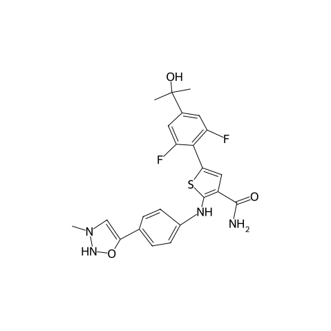 CN1C=C(c2ccc(Nc3sc(-c4c(F)cc(C(C)(C)O)cc4F)cc3C(N)=O)cc2)ON1